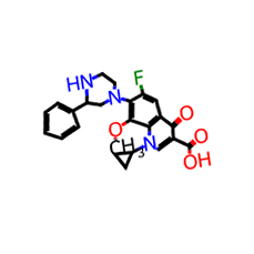 COc1c(N2CCNC(c3ccccc3)C2)c(F)cc2c(=O)c(C(=O)O)cn(C3CC3)c12